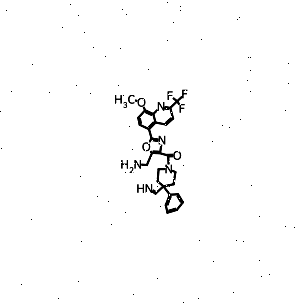 COc1ccc(-c2nc(C(=O)N3CCC(C=N)(c4ccccc4)CC3)c(CN)o2)c2ccc(C(F)(F)F)nc12